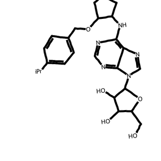 CC(C)c1ccc(COC2CCCC2Nc2ncnc3c2ncn3C2OC(CO)C(O)C2O)cc1